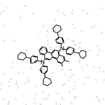 Cc1cc2c(N(c3ccc(C4CCCCC4)cc3)c3ccc(C4CCCCC4)cc3)cc3c4ccccc4c(N(c4ccc(C5CCCCC5)cc4)c4ccc(C5CCCCC5)cc4)cc3c2cc1C